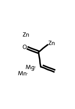 C=C[C](=O)[Zn].[Mg].[Mn].[Zn]